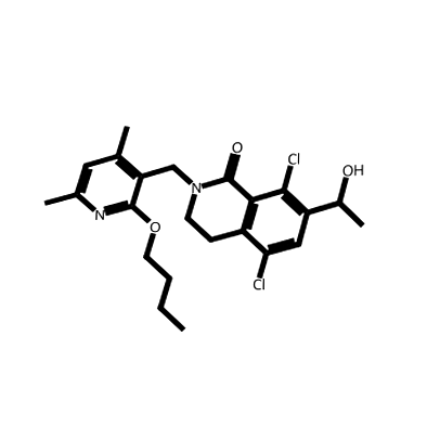 CCCCOc1nc(C)cc(C)c1CN1CCc2c(Cl)cc(C(C)O)c(Cl)c2C1=O